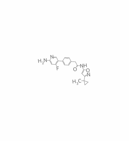 CC1(c2cc(NC(=O)Cc3ccc(-c4cnc(N)cc4F)cc3)on2)CC1